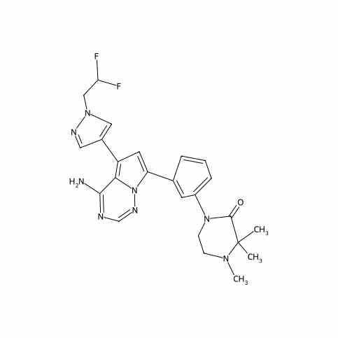 CN1CCN(c2cccc(-c3cc(-c4cnn(CC(F)F)c4)c4c(N)ncnn34)c2)C(=O)C1(C)C